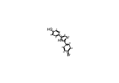 Oc1ccc(-c2cnc(-c3ccc(Br)cc3)[nH]2)cc1